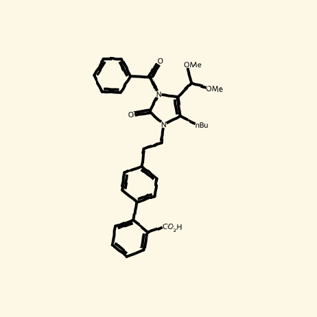 CCCCc1c(C(OC)OC)n(C(=O)c2ccccc2)c(=O)n1CCc1ccc(-c2ccccc2C(=O)O)cc1